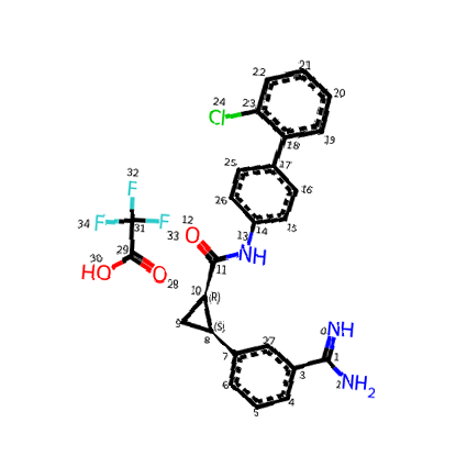 N=C(N)c1cccc([C@H]2C[C@H]2C(=O)Nc2ccc(-c3ccccc3Cl)cc2)c1.O=C(O)C(F)(F)F